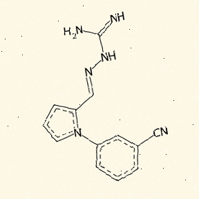 N#Cc1cccc(-n2cccc2C=NNC(=N)N)c1